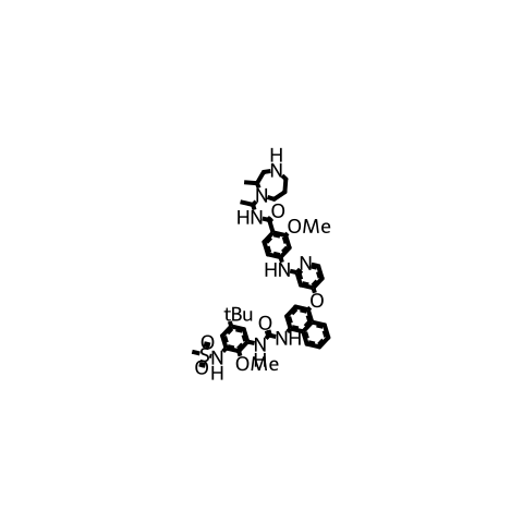 COc1cc(Nc2cc(Oc3ccc(NC(=O)Nc4cc(C(C)(C)C)cc(NS(C)(=O)=O)c4OC)c4ccccc34)ccn2)ccc1C(=O)NC(C)N1CCCNCC1C